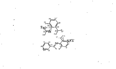 CC(=Nc1c(C)cccc1C(C)C)c1cccnc1.C[C]([Fe+2])=Nc1c(C)cccc1C(C)C.[Cl-].[Cl-]